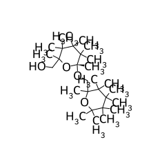 CC1(C)OC(C)(CO[C@]2(C)OC(C)(CO)C(C)(C)C(C)(C)C2(C)C)C(C)(C)C(C)(C)C1(C)C